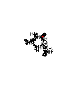 CCCC[C@H](NC(C)=O)C(=O)N[C@H]1CCC(=O)NCC[C@@H](C(=O)N[C@@H](Cc2c[nH]c3ccccc23)C(N)=O)NC(=O)[C@H](C)NC(=O)[C@@H](Cc2ccccc2)NC(=O)[C@H](Cc2c[nH]cn2)NC1=O